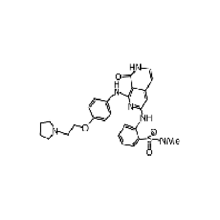 CNS(=O)(=O)c1ccccc1Nc1cc2cc[nH]c(=O)c2c(Nc2ccc(OCCN3CCCC3)cc2)n1